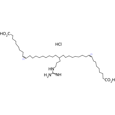 Cl.N=C(N)NCCCC(CCCCCCCC/C=C\CCCCCCCC(=O)O)CCCCCCCCC/C=C\CCCCCCCC(=O)O